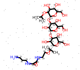 CC(C)OC1C(O)[C@H](O)C(CO)O[C@@H]1OC1C(O)[C@@H](OC2C(O)[C@@H](C(C)(C)OCCNC3OC3NCCCN)OC(CO)[C@H]2O)OC(CO)[C@H]1O